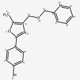 Cc1oc(-c2ccc(C(C)C)cc2)nc1COCc1ccccn1